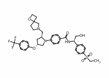 CCS(=O)(=O)c1ccc([C@H](CO)NC(=O)c2ccc(N3C[C@H](Oc4ccc(C(F)(F)F)cc4)C[C@H]3CN3CCC4(CCO4)C3)cc2)cc1